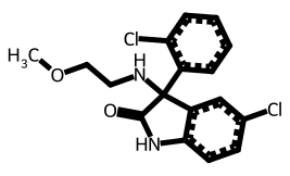 COCCNC1(c2ccccc2Cl)C(=O)Nc2ccc(Cl)cc21